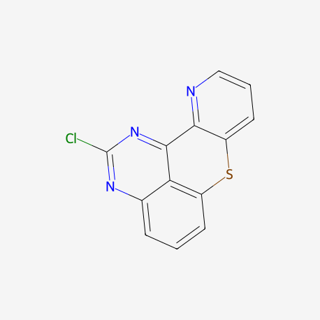 Clc1nc2c3c(cccc3n1)Sc1cccnc1-2